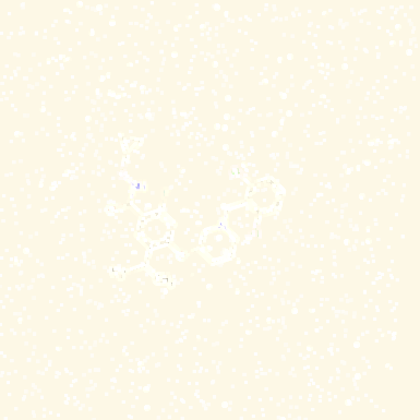 CC(C)c1cc(C(=O)NSC2CC2)c(F)cc1OC1CCCN(Cc2c(Cl)cccc2Cl)C1